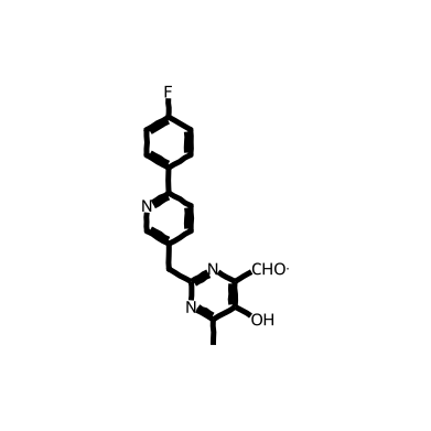 Cc1nc(Cc2ccc(-c3ccc(F)cc3)nc2)nc([C]=O)c1O